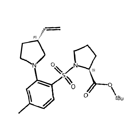 C=C[C@H]1CCN(c2cc(C)ccc2S(=O)(=O)N2CCC[C@H]2C(=O)OC(C)(C)C)C1